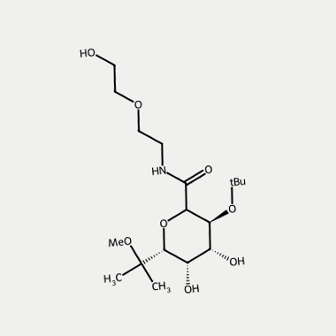 COC(C)(C)[C@@H]1OC(C(=O)NCCOCCO)[C@@H](OC(C)(C)C)[C@H](O)[C@@H]1O